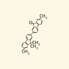 Cc1ccc2c(c1)C(=O)c1cc(-c3ccc4c(c3)C(C)(C)c3cc(C)ccc3-4)ccc1-2